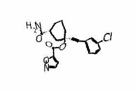 NC(=O)[C@@H]1CCC[C@@](C#Cc2cccc(Cl)c2)(OC(=O)c2ccno2)C1